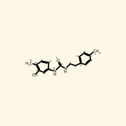 Cc1ccc(CCNC(=O)Nc2ccc(C)c(Cl)c2)cc1